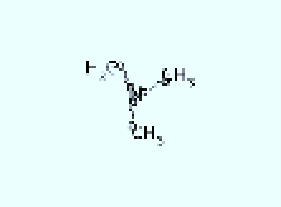 Cc1cccc(/C=C/C=C/c2ccc(N(c3ccc(/C=C/C=C/c4cccc(C)c4)cc3)c3ccc(/C=C/C=C/c4cccc(C)c4)cc3)cc2)c1